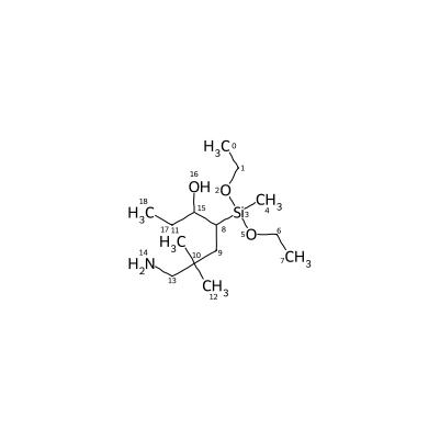 CCO[Si](C)(OCC)C(CC(C)(C)CN)C(O)CC